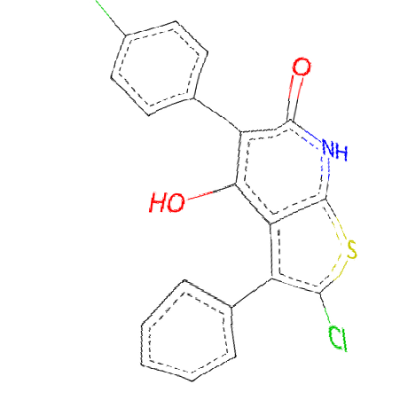 O=c1[nH]c2sc(Cl)c(-c3ccccc3)c2c(O)c1-c1ccc(Cl)cc1